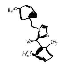 Cc1cccc(Cn2ccnc2C(O)c2c(C)cccc2C)c1